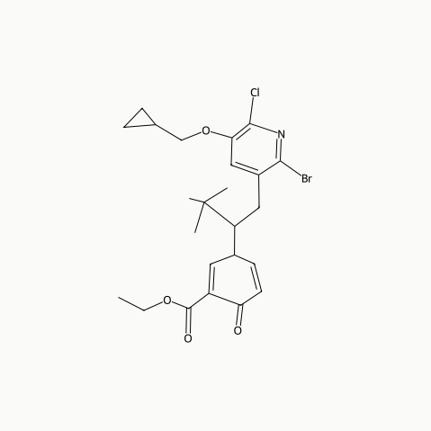 CCOC(=O)C1=CC(C(Cc2cc(OCC3CC3)c(Cl)nc2Br)C(C)(C)C)C=CC1=O